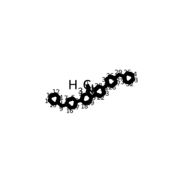 Cn1c2cc(-c3ccc(Cc4ccccc4)cc3)ccc2c2ccc(-c3ccc(Cc4ccccc4)cc3)cc21